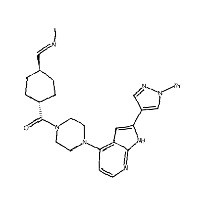 CN=C[C@H]1CC[C@H](C(=O)N2CCN(c3ccnc4[nH]c(-c5cnn(C(C)C)c5)cc34)CC2)CC1